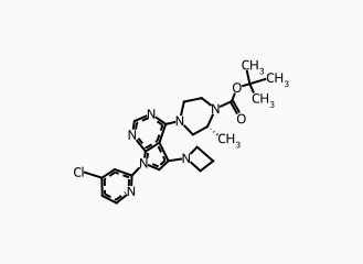 C[C@@H]1CN(c2ncnc3c2c(N2CCC2)cn3-c2cc(Cl)ccn2)CCN1C(=O)OC(C)(C)C